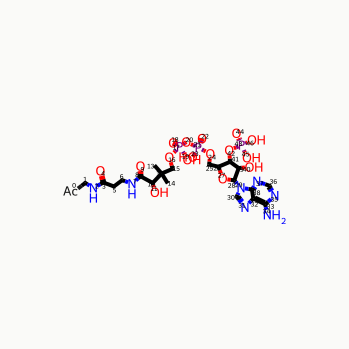 CC(=O)CNC(=O)CCNC(=O)C(O)C(C)(C)COP(=O)(O)OP(=O)(O)OCC1OC(n2cnc3c(N)ncnc32)C(O)C1OP(=O)(O)O